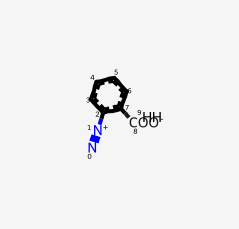 N#[N+]c1ccccc1C(=O)[O-].[HH]